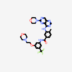 Cc1ccc(C(=O)Nc2cc(OCCN3CCOCC3)cc(C(F)(F)F)c2)cc1Nc1ncnc2cnc(N3CCOCC3)nc12